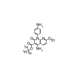 [2H]C([2H])([2H])OC(=O)c1c(N)c2ccc(OCC)nc2n(-c2ccc(N)cc2)c1=O